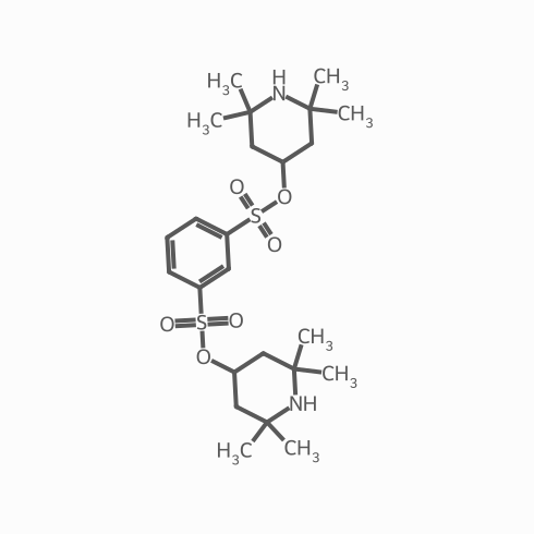 CC1(C)CC(OS(=O)(=O)c2cccc(S(=O)(=O)OC3CC(C)(C)NC(C)(C)C3)c2)CC(C)(C)N1